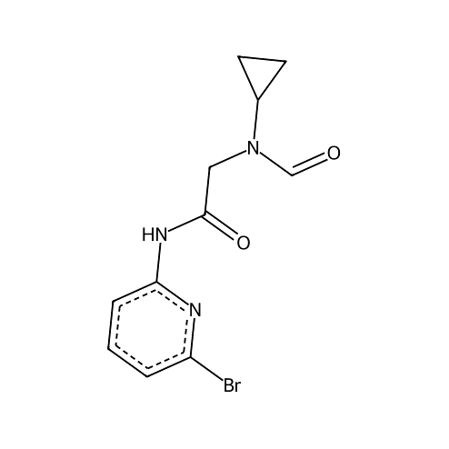 O=CN(CC(=O)Nc1cccc(Br)n1)C1CC1